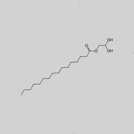 CCCCCCCCCCCCCCCC(=O)OCC(O)O